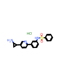 Cl.NC1CC1c1ccc(-c2cccc(NS(=O)(=O)c3ccccc3)c2)nc1